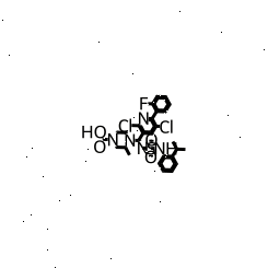 CC(C)c1ccccc1NS(=O)(=O)N=C(c1cc(Cl)c(-c2ccccc2F)nc1Cl)N1CCN(C(=O)O)CC1C